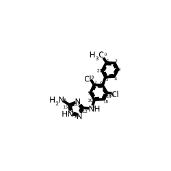 Cc1cccc(-c2c(Cl)cc(Nc3n[nH]c(N)n3)cc2Cl)c1